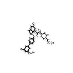 COc1cc(F)cc(-c2ccc(Cn3ncc4cc(Cl)cc(C(=O)NC5CCC(CC(=O)O)CC5)c43)nn2)c1